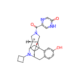 O=C(c1c[nH]c(=O)cn1)N1C[C@H]2CC34CCC1C2C31CCN(C2CCC2)C4Cc2ccc(O)cc21